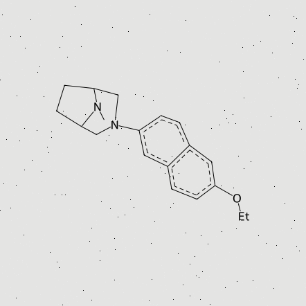 CCOc1ccc2cc(N3CC4CCC(C3)N4C)ccc2c1